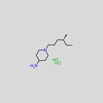 CC[C@H](C)CCCN1CCC(N)CC1.Cl.Cl